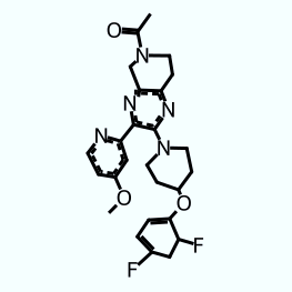 COc1ccnc(-c2nc3c(nc2N2CCC(OC4=CC=C(F)CC4F)CC2)CCN(C(C)=O)C3)c1